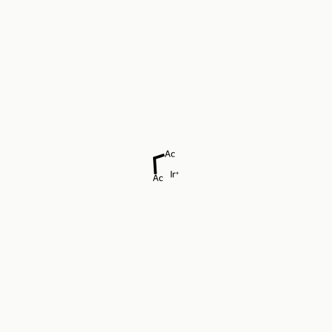 CC(=O)CC(C)=O.[Ir+]